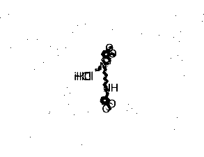 CCCN(CCCCCCNCCc1cccc(S(C)(=O)=O)c1)[C@H]1CCc2c(ccc(OC)c2OC)C1.Cl.Cl